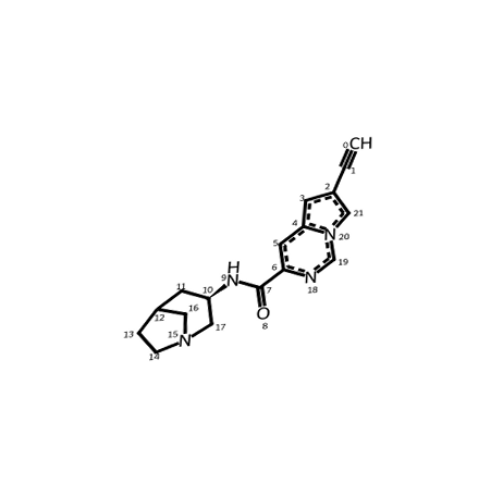 C#Cc1cc2cc(C(=O)N[C@@H]3CC4CCN(C4)C3)ncn2c1